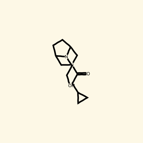 O=C(CC1CC1)N1CC2CCC(C1)N2CCO